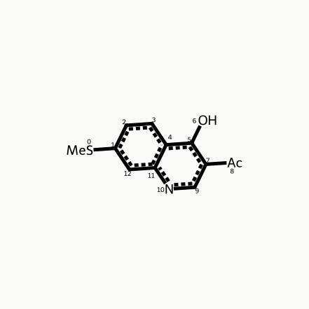 CSc1ccc2c(O)c(C(C)=O)cnc2c1